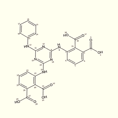 O=C(O)c1cccc(Nc2nc(Nc3ccccc3)nc(Nc3cccc(C(=O)O)c3C(=O)O)n2)c1C(=O)O